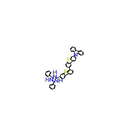 c1ccc(C2NC(c3ccccc3)NC(c3ccc4c(c3)sc3c(-c5ccc6sc7cc(-n8c9ccccc9c9ccccc98)ccc7c6c5)cccc34)N2)cc1